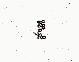 CCCc1nc(CO)c(/C=C\c2cccc3ccccc23)n1Cc1ccc(-c2ccccc2-c2nnnn2C(c2ccccc2)(c2ccccc2)c2ccccc2)cc1